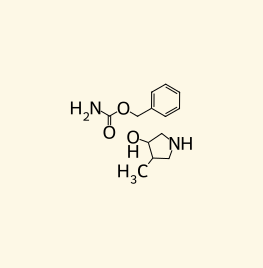 CC1CNCC1O.NC(=O)OCc1ccccc1